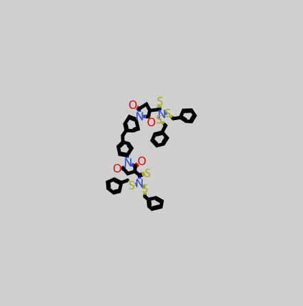 O=C1CC(C(=S)N(SCc2ccccc2)SCc2ccccc2)C(=O)N1c1ccc(Cc2ccc(N3C(=O)CC(C(=S)N(SCc4ccccc4)SCc4ccccc4)C3=O)cc2)cc1